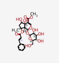 COC(=O)C1=CO[C@@H](O[C@@H]2O[C@H](CO)[C@@H](O)[C@H](O)[C@H]2O)[C@H]2[C@]1(O)[C@H](O)C[C@]2(C)OC(=O)/C=C/c1ccccc1